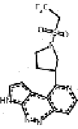 O=S(=O)(CC(F)(F)F)N1CCC(c2nccc3nnc4[nH]ccc4c23)C1